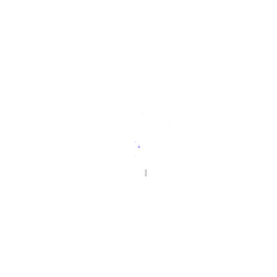 C=C/C(C)=C(\N=C(/C)C(C)(C)C)C(C)(C)C